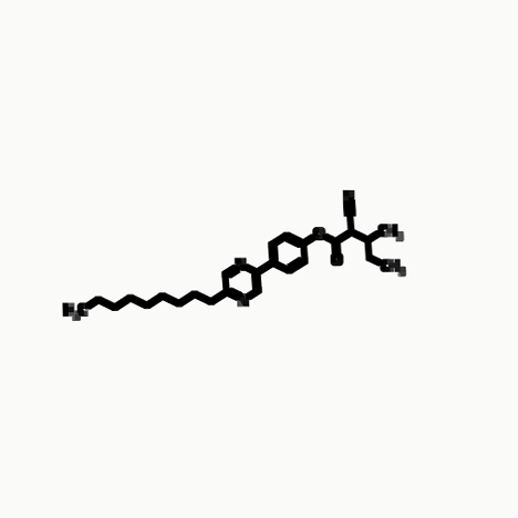 CCCCCCCCCc1cnc(-c2ccc(OC(=O)C(C#N)C(C)CC)cc2)cn1